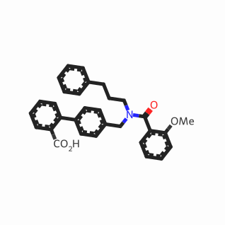 COc1ccccc1C(=O)N(CCCc1ccccc1)Cc1ccc(-c2ccccc2C(=O)O)cc1